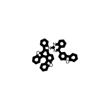 c1ccc2c(-c3ccc4oc5ccccc5c4c3)nc(-n3c4ccccc4c4c5oc6ccccc6c5c5c(ccc6oc7ccccc7c65)c43)nc2c1